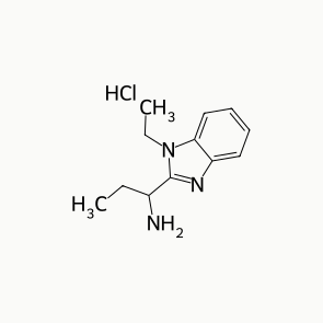 CCC(N)c1nc2ccccc2n1CC.Cl